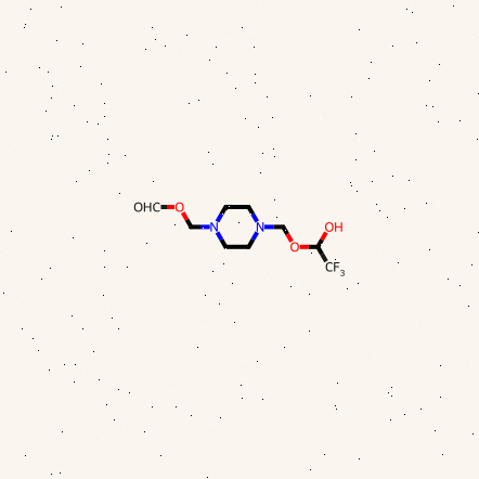 O=COCN1CCN(COC(O)C(F)(F)F)CC1